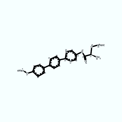 CCCCCCOc1ccc(-c2ccc(-c3ncc(OC(=O)[C@H](C)OCCCCC)cn3)cc2)cc1